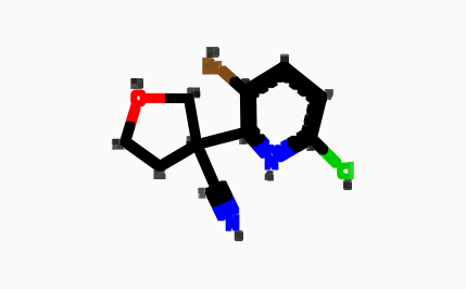 N#CC1(c2nc(Cl)ccc2Br)CCOC1